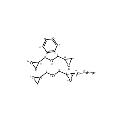 C(OCC1CO1)C1CO1.C(OCC1CO1)C1CO1.CCCCCCCC.c1ccccc1